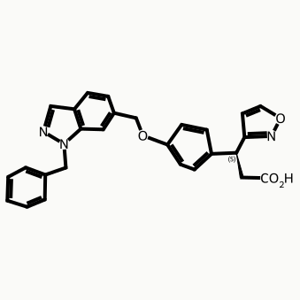 O=C(O)C[C@@H](c1ccc(OCc2ccc3cnn(Cc4ccccc4)c3c2)cc1)c1ccon1